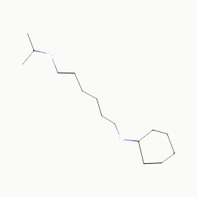 CC(C)NCCCCCCNC1CCCCC1